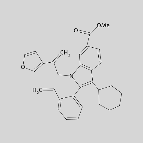 C=Cc1ccccc1-c1c(C2CCCCC2)c2ccc(C(=O)OC)cc2n1CC(=C)c1ccoc1